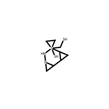 SCS12(S)(CC1)NN1CC1C1CC12